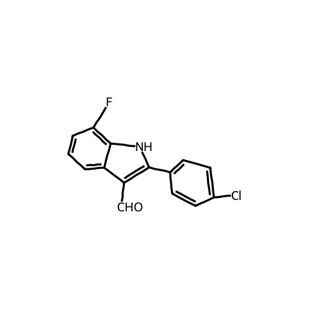 O=Cc1c(-c2ccc(Cl)cc2)[nH]c2c(F)cccc12